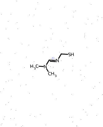 CN(C)/C=N/CS